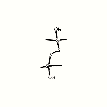 C[Si](C)(O)SS[Si](C)(C)O